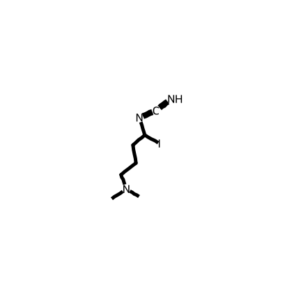 CN(C)CCCC(I)N=C=N